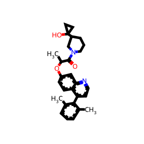 Cc1cccc(C)c1-c1ccnc2cc(OC(C)C(=O)N3CCCC(C4(O)CC4)C3)ccc12